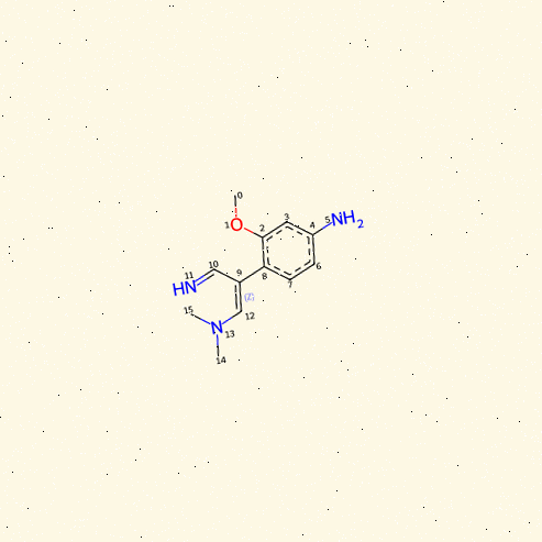 COc1cc(N)ccc1/C(C=N)=C/N(C)C